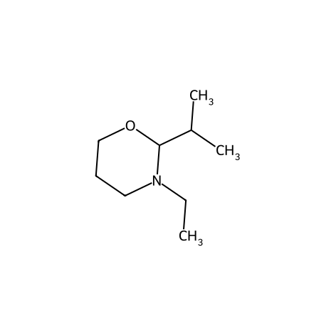 CCN1CCCOC1C(C)C